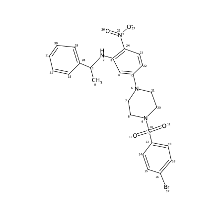 CC(Nc1cc(N2CCN(S(=O)(=O)c3ccc(Br)cc3)CC2)ccc1[N+](=O)[O-])c1ccccc1